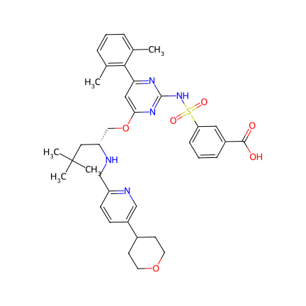 Cc1cccc(C)c1-c1cc(OC[C@@H](CC(C)(C)C)NCc2ccc(C3CCOCC3)cn2)nc(NS(=O)(=O)c2cccc(C(=O)O)c2)n1